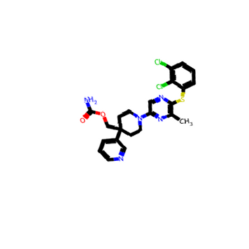 Cc1nc(N2CCC(COC(N)=O)(c3cccnc3)CC2)cnc1Sc1cccc(Cl)c1Cl